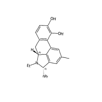 CCC[C@H]1c2cc(C)cc3c2[C@@H](Cc2ccc(O)c(O)c2-3)N1CC